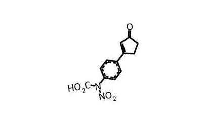 O=C1C=C(c2ccc(N(C(=O)O)[N+](=O)[O-])cc2)CC1